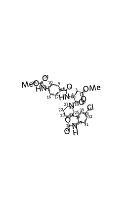 COC(=O)C[C@H](NC(=O)c1ccc(NC(=O)OC)cc1)C(=O)N1CCC[C@@]2(C1)OC(=O)Nc1ccc(Cl)cc12